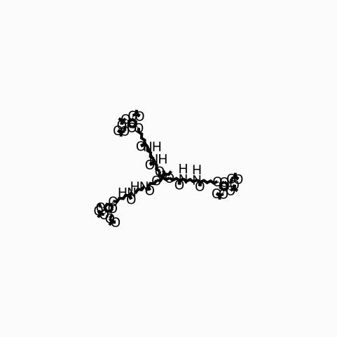 CCC(C)C(COCCC(=O)NCCCNC(=O)CCCCO[C@H]1C[C@@H](OC)[C@@H](OC(C)=O)[C@@H](COC(C)=O)O1)(COCCC(=O)NCCCNC(=O)CCCCO[C@H]1C[C@@H](OC(C)=O)[C@@H](OC(C)=O)[C@@H](COC(C)=O)O1)COCCC(=O)NCCCNC(=O)CCCCO[C@H]1C[C@@H](OC(C)=O)[C@@H](OC(C)=O)[C@@H](COC(C)=O)O1